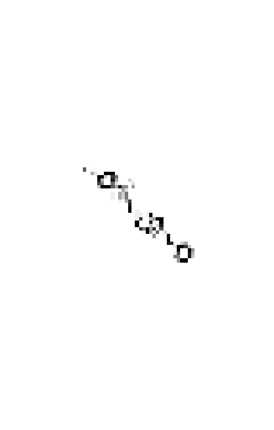 N#Cc1ccc(C(=O)NCCN2CC3CN(CCc4ccccc4)CC(C2)O3)cc1